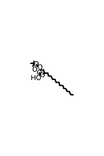 CCCCCCCCCCCCCCCC(CCOC(=O)OC(C)(C)C)OC(=O)O